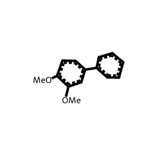 COc1ccc(-c2ccccc2)cc1OC